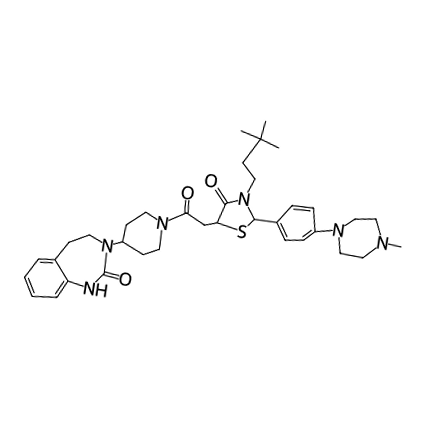 CN1CCN(c2ccc(C3SC(CC(=O)N4CCC(N5CCc6ccccc6NC5=O)CC4)C(=O)N3CCC(C)(C)C)cc2)CC1